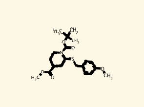 COC(=O)C1CCN(C(=O)OC(C)(C)C)C(SCc2ccc(OC)cc2)C1